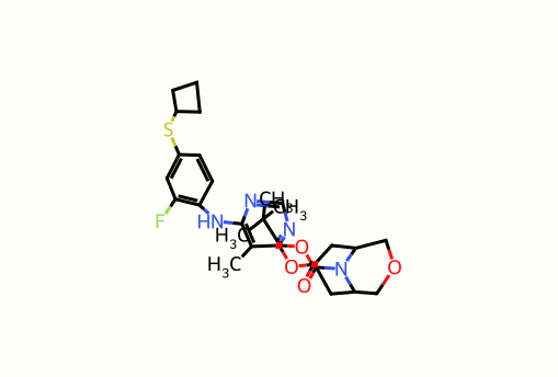 Cc1c(Nc2ccc(SC3CCC3)cc2F)ncnc1OC1CC2COCC(C1)N2C(=O)OCC(C)(C)C